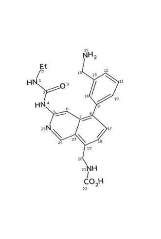 CCNC(=O)Nc1cc2c(-c3cccc(CN)c3)ccc(CNC(=O)O)c2cn1